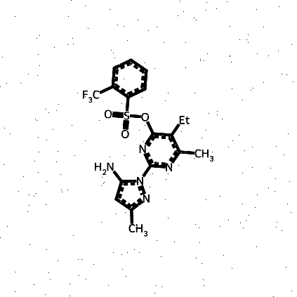 CCc1c(C)nc(-n2nc(C)cc2N)nc1OS(=O)(=O)c1ccccc1C(F)(F)F